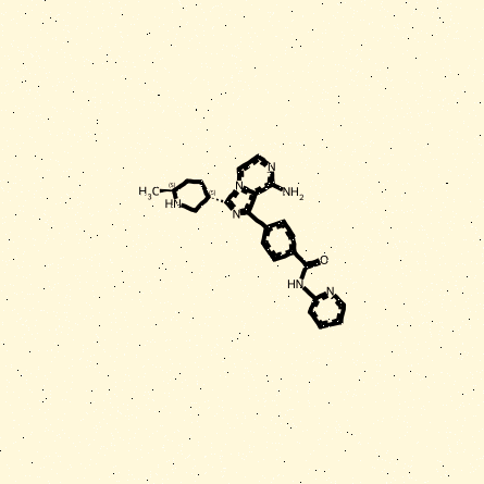 C[C@H]1CC[C@H](c2nc(-c3ccc(C(=O)Nc4ccccn4)cc3)c3c(N)nccn23)CN1